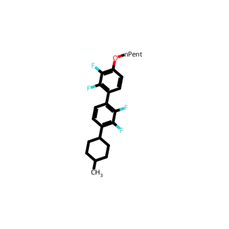 CCCCCOc1ccc(-c2ccc(C3CCC(C)CC3)c(F)c2F)c(F)c1F